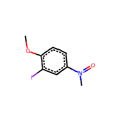 COc1ccc([N+](C)=O)cc1I